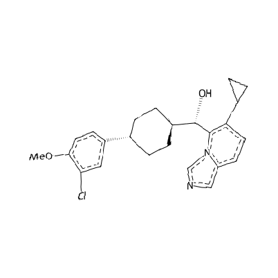 COc1ccc([C@H]2CC[C@H]([C@H](O)c3c(C4CC4)ccc4cncn34)CC2)cc1Cl